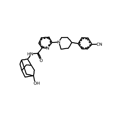 N#Cc1ccc(C2CCN(c3cccc(C(=O)NC4C5CC6CC4CC(O)(C6)C5)n3)CC2)cc1